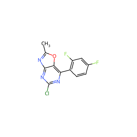 Cc1nc2nc(Cl)nc(-c3ccc(F)cc3F)c2o1